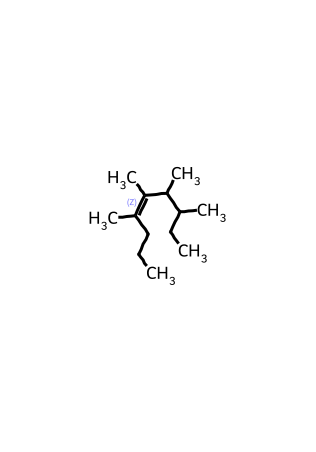 CCC/C(C)=C(/C)C(C)C(C)CC